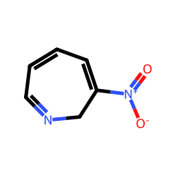 O=[N+]([O-])C1=CC=CC=NC1